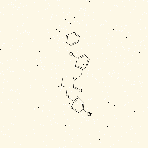 CC(C)C(Oc1ccc(Br)cc1)C(=O)OCc1cccc(Oc2ccccc2)c1